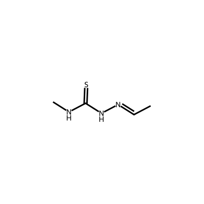 C/C=N/NC(=S)NC